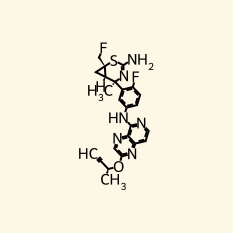 C#C[C@H](C)Oc1cnc2c(Nc3ccc(F)c([C@]4(C)N=C(N)S[C@@]5(CF)C[C@H]54)c3)nccc2n1